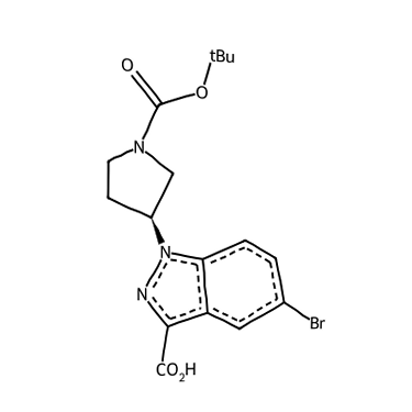 CC(C)(C)OC(=O)N1CC[C@H](n2nc(C(=O)O)c3cc(Br)ccc32)C1